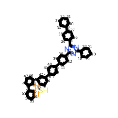 S[PH]1(c2ccc(-c3ccc(-c4ccc(-c5nc(-c6ccccc6)nc(-c6ccc(-c7ccccc7)cc6)n5)cc4)cc3)cc2)c2ccccc2-c2ccccc21